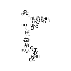 Cc1c(Nc2nc3ccccc3s2)nnc2c1CCCN2c1ccc(-c2cnn(CC34CC5(CCCN(CCCCO)C(=O)OCc6ccc(NC(=O)[C@H](CCCNC(N)=O)NC(=O)[C@@H](NC(=O)CCOCCN7C(=O)C=CC7=O)C(C)C)cc6)C[C@@](C)(C3)C[C@](C)(C5)C4)c2C)c(C(=O)O)n1